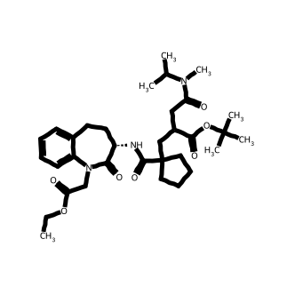 CCOC(=O)CN1C(=O)[C@@H](NC(=O)C2(CC(CC(=O)N(C)C(C)C)C(=O)OC(C)(C)C)CCCC2)CCc2ccccc21